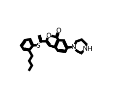 C=C(Sc1ccccc1CCCC)c1cc2ccc(N3CCCNCC3)cc2c(=O)o1